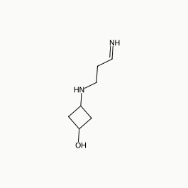 N=CCCNC1CC(O)C1